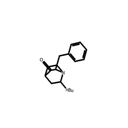 CCCCC1CC2CCN1C(Cc1ccccc1)C2=O